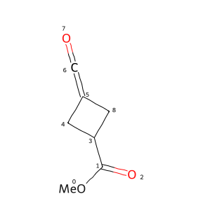 COC(=O)C1CC(=C=O)C1